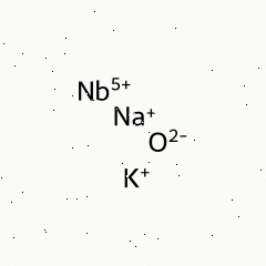 [K+].[Na+].[Nb+5].[O-2]